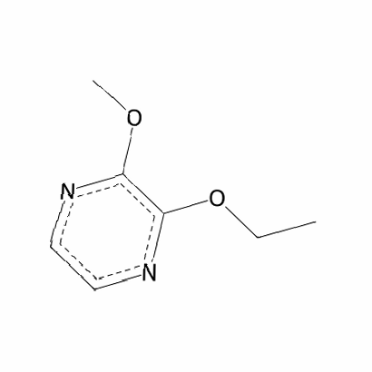 CCOc1nccnc1OC